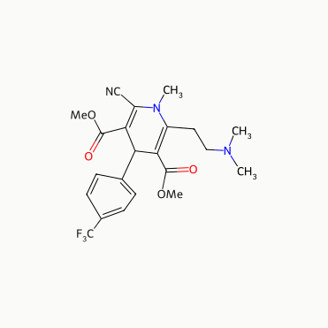 COC(=O)C1=C(C#N)N(C)C(CCN(C)C)=C(C(=O)OC)C1c1ccc(C(F)(F)F)cc1